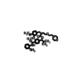 COc1ccc(CN(CCOCCN2CCOCC2)C(=O)O[C@H](c2ccc(C(=O)Nc3ccccc3N)cc2)C(C)C)cc1OC